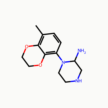 Cc1ccc(N2CCNCC2N)c2c1OCCO2